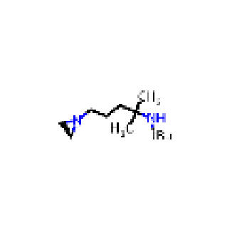 CC(C)(C)NC(C)(C)CCCN1C=C1